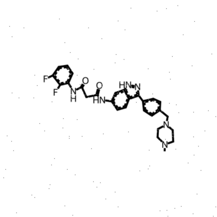 CN1CCN(Cc2ccc(-c3n[nH]c4cc(NC(=O)CC(=O)Nc5cccc(F)c5F)ccc34)cc2)CC1